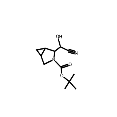 CC(C)(C)OC(=O)N1CC2CC2C1C(O)C#N